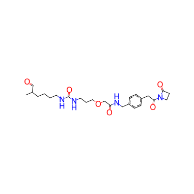 CC(C=O)CCCCNC(=O)NCCCOCC(=O)NCc1ccc(CC(=O)N2CCC2=O)cc1